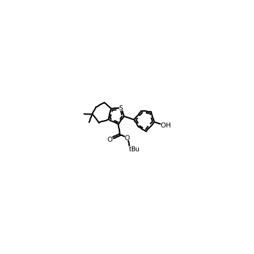 CC1(C)CCc2sc(-c3ccc(O)cc3)c(C(=O)OC(C)(C)C)c2C1